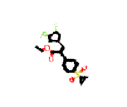 CCOC(=O)C(C[C@H]1C[C@@H](F)[C@@H](F)C1)c1ccc(S(=O)(=O)C2CC2)cc1